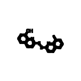 Cc1cccc2ccc(SSc3ccc4cccc(O)c4n3)nc12